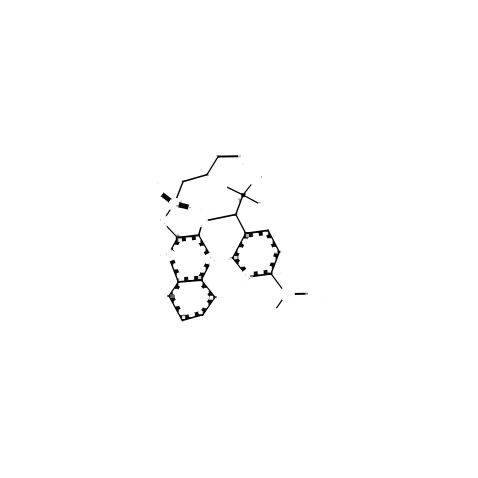 CCCCS(=O)(=O)Nc1nc2ccccc2nc1OC(c1ccc([S+](C)[O-])nc1)C(F)(F)F